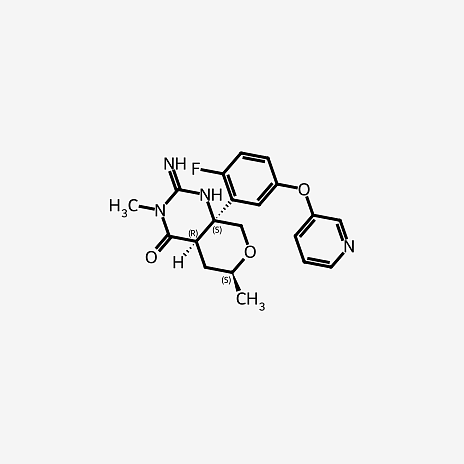 C[C@H]1C[C@H]2C(=O)N(C)C(=N)N[C@@]2(c2cc(Oc3cccnc3)ccc2F)CO1